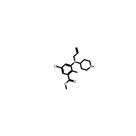 C=CCN(c1cc(Cl)cc(C(=O)OC)c1C)C1CCNCC1